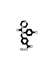 COC(=O)c1ccc(CN(C(=O)N2CCSCC2)c2ccc(Cl)cc2)cc1